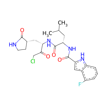 CC(C)C[C@H](NC(=O)c1cc2c(F)cccc2[nH]1)C(=O)N[C@@H](C[C@@H]1CCNC1=O)C(=O)CCl